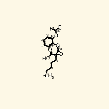 CCCCCC1(C(=O)O)OC1Oc1ccccc1OC(F)F